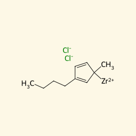 CCCCC1=C[C](C)([Zr+2])C=C1.[Cl-].[Cl-]